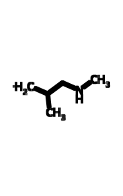 [CH2]C(C)CNC